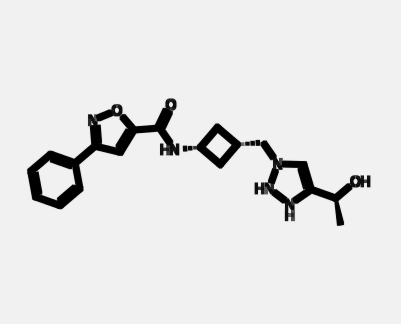 C[C@H](O)C1=CN(C[C@H]2C[C@@H](NC(=O)c3cc(-c4ccccc4)no3)C2)NN1